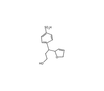 O=S(=O)(O)c1ccc(C(CCO)C2C=CCO2)cc1